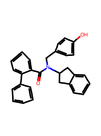 O=C(c1ccccc1-c1ccccc1)N(Cc1ccc(O)cc1)C1Cc2ccccc2C1